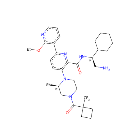 CCOc1ncccc1-c1ccc(N2CCN(C(=O)C3(C(F)(F)F)CCC3)C[C@H]2CC)c(C(=O)N[C@H](CN)C2CCCCC2)n1